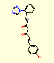 O=C(/C=C/c1ccc(O)cc1)CC(=O)/C=C/c1ccccc1-n1cncn1